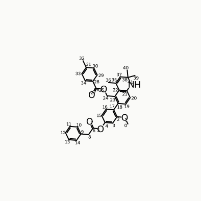 COc1cc(OC(=O)Cc2ccccc2)ccc1-c1ccc2c(c1COC(=O)c1ccc(C)cc1)C(C)=CC(C)(C)N2